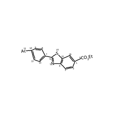 CCOC(=O)c1ccc2nc(-c3ccc(C(C)=O)cc3)sc2c1